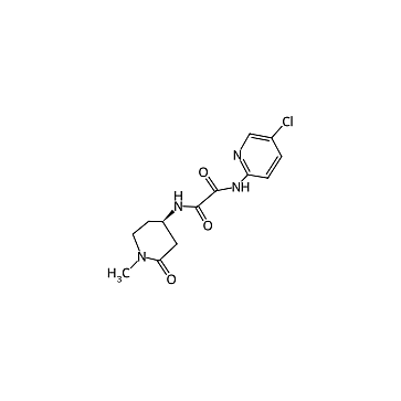 CN1CC[C@@H](NC(=O)C(=O)Nc2ccc(Cl)cn2)CC1=O